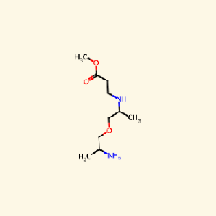 COC(=O)CCNC(C)COCC(C)N